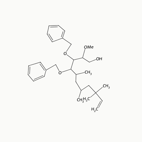 C=CC(C)(C)CC(C)CC(C)C(OCc1ccccc1)C(OCc1ccccc1)C(CO)OC